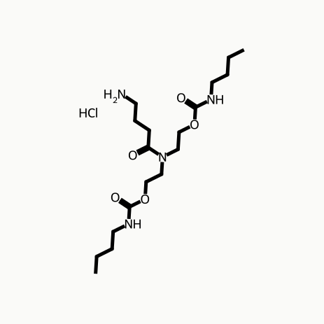 CCCCNC(=O)OCCN(CCOC(=O)NCCCC)C(=O)CCCN.Cl